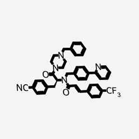 N#Cc1ccc(C[C@@H](C(=O)N2CCN(Cc3ccccc3)CC2)N(Cc2ccc(-c3ccccn3)cc2)C(=O)/C=C/c2ccc(C(F)(F)F)cc2)cc1